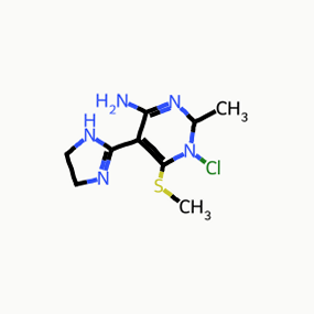 CSC1=C(C2=NCCN2)C(N)=NC(C)N1Cl